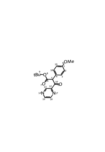 COc1ccc(C(C(=O)OC(C)(C)C)C(=O)c2cnccn2)cc1